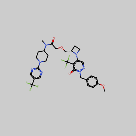 COc1ccc(Cn2ncc(N3CC[C@H]3COCC(=O)N(C)C3CCN(c4ncc(C(F)(F)F)cn4)CC3)c(C(F)(F)F)c2=O)cc1